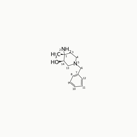 C[C@@]1(N)CCN(Cc2ccccc2)C[C@H]1O